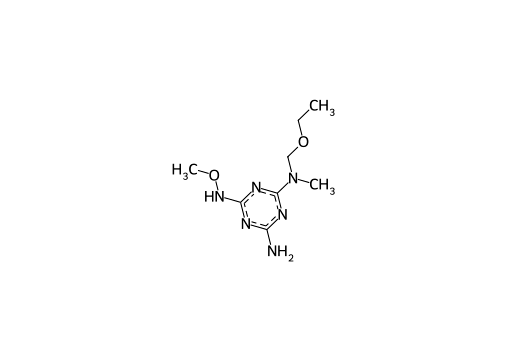 CCOCN(C)c1nc(N)nc(NOC)n1